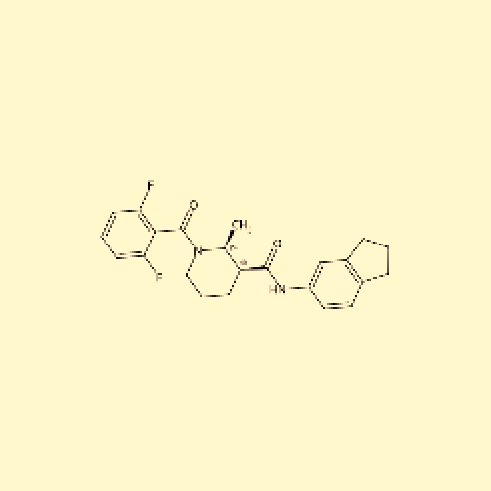 C[C@H]1[C@@H](C(=O)Nc2ccc3c(c2)CCC3)CCCN1C(=O)c1c(F)cccc1F